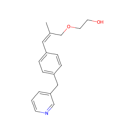 CC(=Cc1ccc(Cc2cccnc2)cc1)COCCO